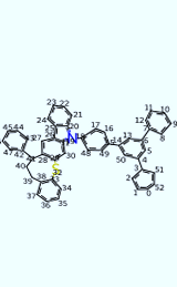 c1ccc(-c2cc(-c3ccccc3)cc(-c3ccc(-n4c5ccccc5c5cc6c(cc54)Sc4ccccc4CCC6c4ccccc4)cc3)c2)cc1